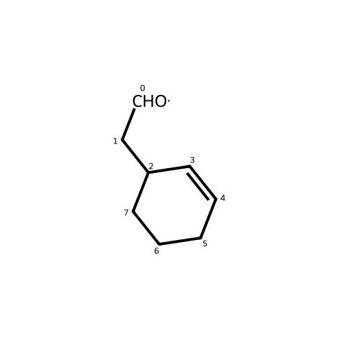 O=[C]CC1C=CCCC1